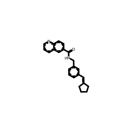 O=C(NCc1cccc(C=C2CCCC2)c1)c1ccc2ncccc2c1